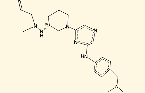 CN(C)Cc1ccc(Nc2cncc(N3CCC[C@@H](NN(C)CC=O)C3)n2)cc1